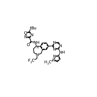 Cn1ccc(Nc2ncnc(-c3ccc4c(c3)CN(CC(F)(F)F)CC[C@H]4NC(=O)c3noc(C(C)(C)C)n3)n2)n1